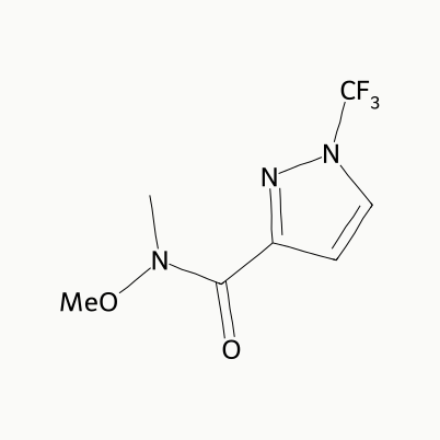 CON(C)C(=O)c1ccn(C(F)(F)F)n1